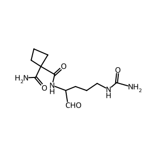 NC(=O)NCCCC(C=O)NC(=O)C1(C(N)=O)CCC1